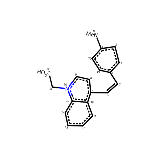 CNc1ccc(/C=C\c2cc[n+](CC(=O)O)c3ccccc23)cc1